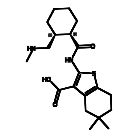 CNC[C@H]1CCCC[C@H]1C(=O)Nc1sc2c(c1C(=O)O)CC(C)(C)CC2